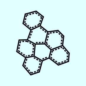 c1ccc2c(c1)c1ccc3cccc4c5cccc6ccc2c(c65)c1c34